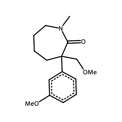 COCC1(c2cccc(OC)c2)CCCCN(C)C1=O